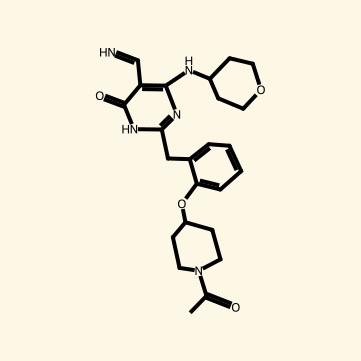 CC(=O)N1CCC(Oc2ccccc2Cc2nc(NC3CCOCC3)c(C=N)c(=O)[nH]2)CC1